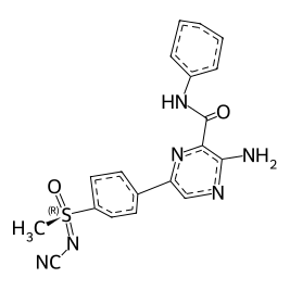 C[S@](=O)(=NC#N)c1ccc(-c2cnc(N)c(C(=O)Nc3ccccc3)n2)cc1